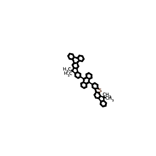 CC1(C)c2ccc(-c3c4ccccc4c(-c4ccc5sc6c7c(ccc6c5c4)-c4ccccc4C7(C)C)c4ccccc34)cc2-c2cc3c4ccccc4c4ccccc4c3cc21